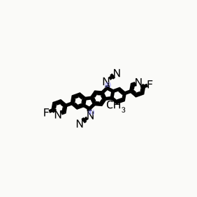 CC12C=CC(c3ccc(F)nc3)=CC1/C(=N\C#N)c1cc3c(cc12)/C(=N/C#N)c1cc(-c2ccc(F)nc2)ccc1-3